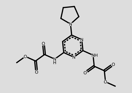 COC(=O)C(=O)Nc1cc(N2CCCC2)nc(NC(=O)C(=O)OC)n1